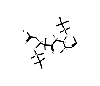 C/C=C\[C@@H](C)[C@H](O[Si](C)(C)C(C)(C)C)[C@@H](C)C(=O)C(C)(C)[C@H](CC(=O)O)O[Si](C)(C)C(C)(C)C